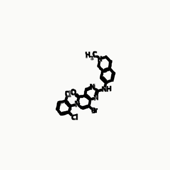 CN1CCc2ccc(Nc3ncc4c(=O)n(-c5c(Cl)cccc5Cl)cc(Br)c4n3)cc2C1